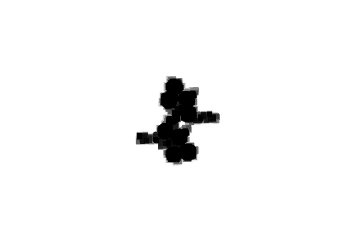 COc1ccc(OC(C)C[C@H](C)Oc2ccc(OC)cc2-c2cc(C)cc(-n3c4ccccc4c4ccccc43)c2O)c(-c2cc(C)cc(-n3c4ccccc4c4ccccc43)c2O)c1